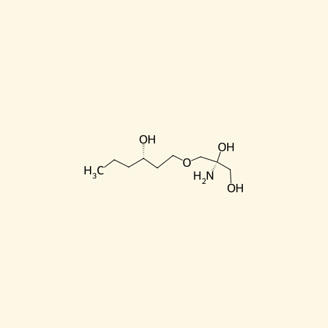 CCC[C@H](O)CCOC[C@@](N)(O)CO